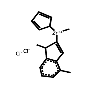 Cc1cccc2c1C=[C]([Zr+2]([CH3])[CH]1C=CC=C1)C2C.[Cl-].[Cl-]